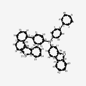 c1ccc(-c2ccc(N(c3ccc(-c4cccc5ccc6sc7ccccc7c6c45)cc3)c3ccc4c(c3)oc3ccccc34)cc2)cc1